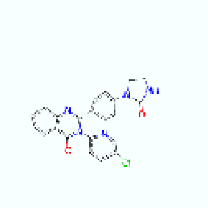 O=C1NCCN1c1ccc(-c2nc3ccccc3c(=O)n2-c2ccc(Cl)cn2)cc1